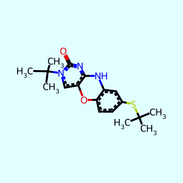 CC(C)(C)Sc1ccc2c(c1)Nc1nc(=O)n(C(C)(C)C)cc1O2